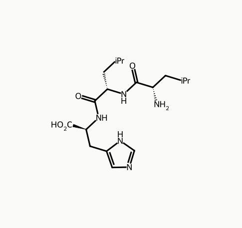 CC(C)C[C@H](NC(=O)[C@@H](N)CC(C)C)C(=O)N[C@@H](Cc1cnc[nH]1)C(=O)O